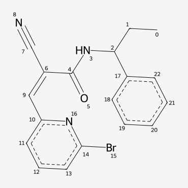 CCC(NC(=O)C(C#N)=Cc1cccc(Br)n1)c1ccccc1